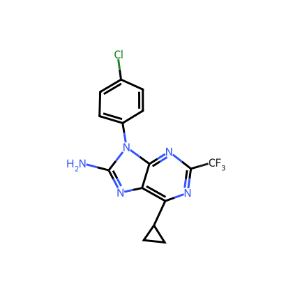 Nc1nc2c(C3CC3)nc(C(F)(F)F)nc2n1-c1ccc(Cl)cc1